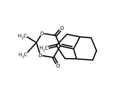 C=C1CC2CCCC(C1)C2=C1C(=O)OC(C)(C)OC1=O